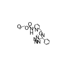 Cn1nnnc1/C(=N\OCc1cccc(NC(=O)OCC2CO2)n1)c1ccccc1